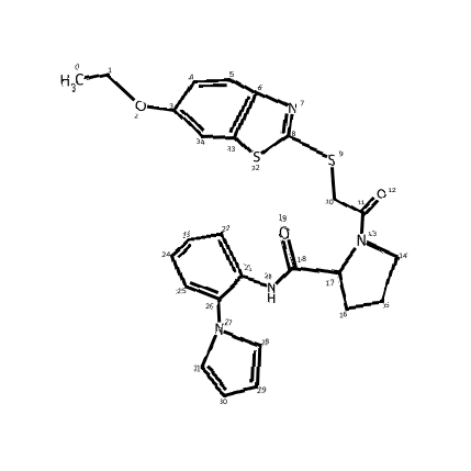 CCOc1ccc2nc(SCC(=O)N3CCCC3C(=O)Nc3ccccc3-n3cccc3)sc2c1